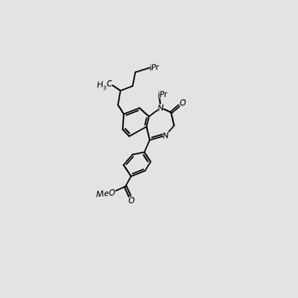 COC(=O)c1ccc(C2=NCC(=O)N(C(C)C)c3cc(CC(C)CCC(C)C)ccc32)cc1